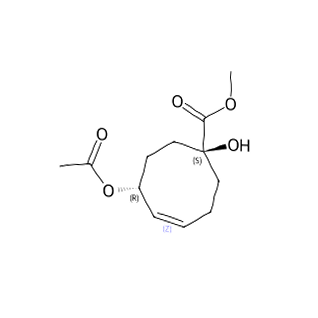 COC(=O)[C@]1(O)CC/C=C\[C@H](OC(C)=O)CC1